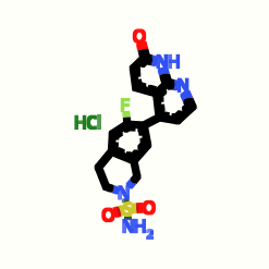 Cl.NS(=O)(=O)N1CCc2cc(F)c(-c3ccnc4[nH]c(=O)ccc34)cc2C1